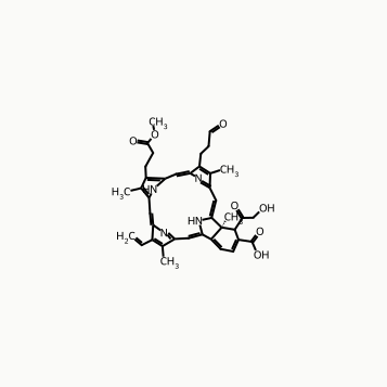 C=CC1=C(C)c2cc3[nH]c(cc4nc(cc5[nH]c(cc1n2)c(C)c5CCC(=O)OC)C(CCC=O)=C4C)[C@]1(C)C3=CC=C(C(=O)O)C1C(=O)CO